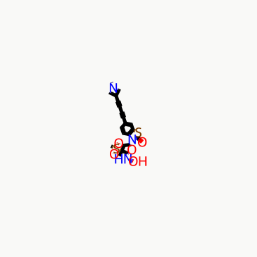 CN1CC(C#CC#Cc2ccc3c(c2)sc(=O)n3CCC(C)(C(=O)NO)S(C)(=O)=O)C1